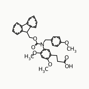 COc1ccc(CN(C(=O)OCC2c3ccccc3-c3ccccc32)c2cc(CCC(=O)O)c(OC)cc2OC)cc1